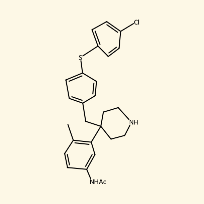 CC(=O)Nc1ccc(C)c(C2(Cc3ccc(Sc4ccc(Cl)cc4)cc3)CCNCC2)c1